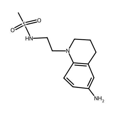 CS(=O)(=O)NCCN1CCCc2cc(N)ccc21